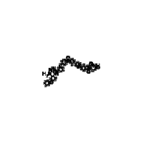 Nc1ncnc2c1c(-c1ccc(Oc3ccccc3)cc1)nn2[C@@H]1CCCN(CC2CCN(C(=O)N3CCC(C4CCN(c5ccc6c(c5)CN(C5CCC(=O)NC5=O)C6=O)CC4)CC3)CC2)C1